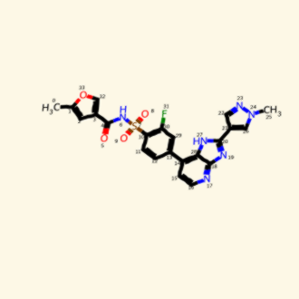 Cc1cc(C(=O)NS(=O)(=O)c2ccc(-c3ccnc4nc(-c5cnn(C)c5)[nH]c34)cc2F)co1